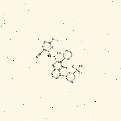 C[C@@H](Nc1nc(N)ncc1C#N)c1nc2cccc(-c3cncc(S(C)(=O)=O)c3)c2c(=O)n1-c1ccccc1